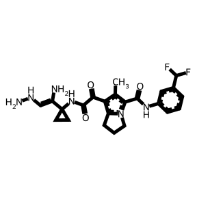 Cc1c(C(=O)C(=O)NC2(/C(N)=C/NN)CC2)c2n(c1C(=O)Nc1cccc(C(F)F)c1)CCC2